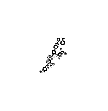 CCc1nc2[nH]cc(F)c2cc1Oc1cc(N2CCC3(CC2)CC(N2CCC[C@H]2c2ccccc2C(C)C)C3)ccc1C(=O)NS(=O)(=O)c1cnc(NCC2CCC(C)(O)CC2)c([N+](=O)[O-])c1